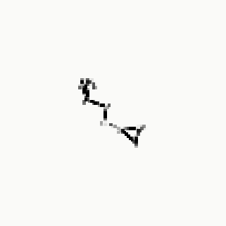 C=CCC[C@H]1CO1